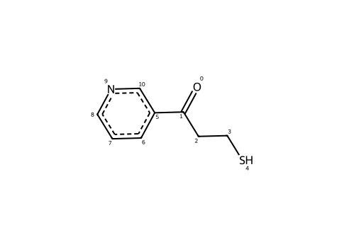 O=C(CCS)c1cccnc1